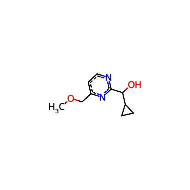 COCc1ccnc(C(O)C2CC2)n1